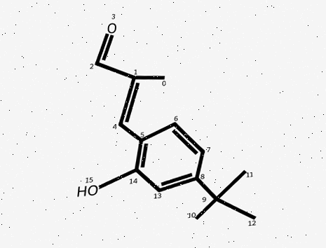 C/C(C=O)=C\c1ccc(C(C)(C)C)cc1O